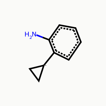 Nc1ccccc1[C]1CC1